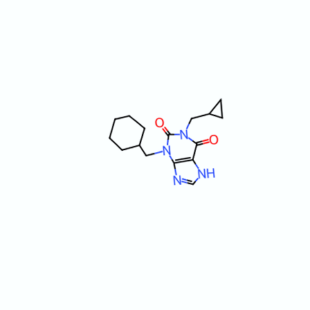 O=c1c2[nH]cnc2n(CC2CCCCC2)c(=O)n1CC1CC1